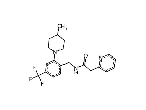 CC1CCN(c2cc(C(F)(F)F)ccc2CNC(=O)Cc2ccccn2)CC1